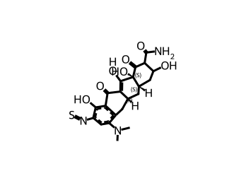 CN(C)c1cc(N=S)c(O)c2c1C[C@H]1C[C@H]3CC(O)C(C(N)=O)C(=O)[C@@]3(O)C(O)=C1C2=O